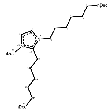 CCCCCCCCCCCCCCCCn1cc[n+](CCCCCCCCCC)c1CCCCCCCCCCCCCCC